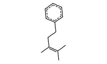 CC(C)=C(C)CCc1ccccc1